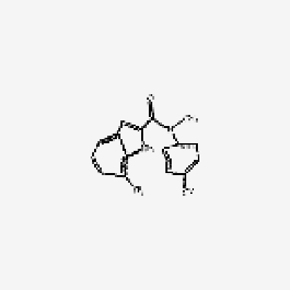 CN(C(=O)c1cc2cccc(C(F)(F)F)c2[nH]1)c1ccc(C#N)cc1